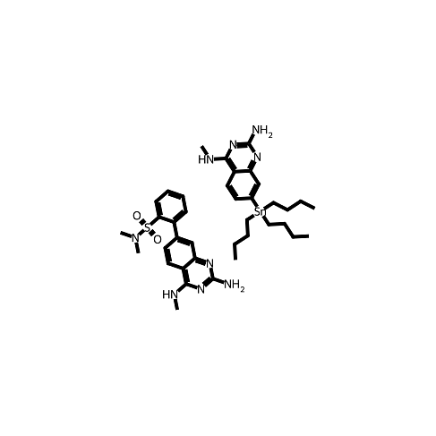 CCC[CH2][Sn]([CH2]CCC)([CH2]CCC)[c]1ccc2c(NC)nc(N)nc2c1.CNc1nc(N)nc2cc(-c3ccccc3S(=O)(=O)N(C)C)ccc12